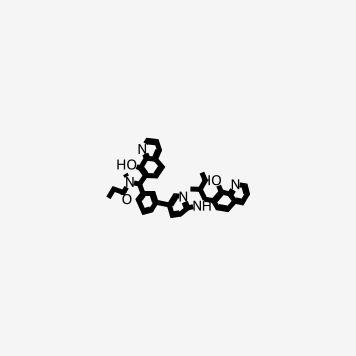 CCC(=O)N(C)C(c1cccc(-c2ccc(NC(c3ccc4cccnc4c3O)C(C)CC)nc2)c1)c1ccc2cccnc2c1O